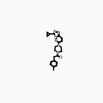 Cc1ccc(CC(=O)N2CCN(c3ccc4nnc(C5CC5)n4n3)CC2)cc1